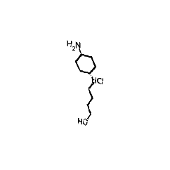 Cl.N[C@H]1CC[C@H](CCCCCO)CC1